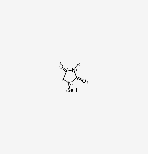 CN1C(=O)CN([SeH])C1=O